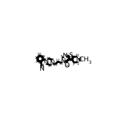 CN1CCc2c(sc3ncn(CCCN4CCN(c5ccccc5C#N)CC4)c(=O)c23)C1